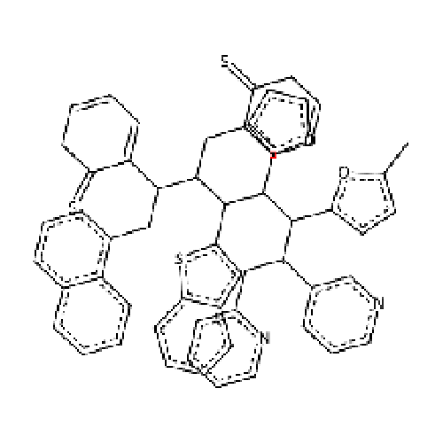 Cc1ccc(C([C](Cc2ccccn2)c2cccnc2)C(c2ccco2)C(c2cc3ccccc3s2)C(CC2=CC=CCC2=S)C(Cc2cccc3ccccc23)C2=CC=CCC2=S)o1